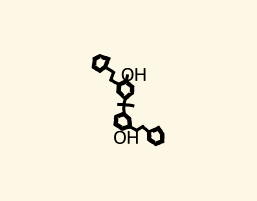 CC(C)(c1ccc(O)c(CCc2ccccc2)c1)c1ccc(O)c(CCc2ccccc2)c1